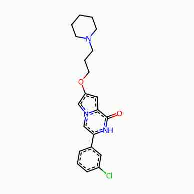 O=c1[nH]c(-c2cccc(Cl)c2)cn2cc(OCCCN3CCCCC3)cc12